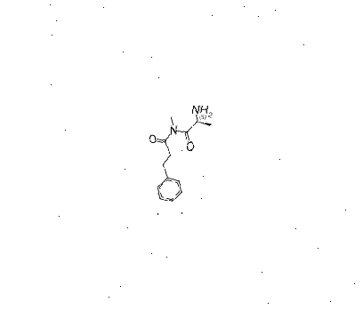 C[C@H](N)C(=O)N(C)C(=O)CCc1ccccc1